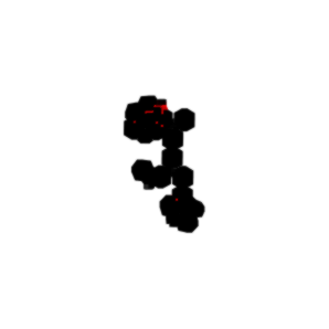 CC1(C)c2ccccc2C2(c3ccccc3-c3cc(-c4cccc(N(c5ccc(-c6ccc(N(c7ccccc7)c7ccc8c(c7)sc7ccccc78)c(-c7ccc8c(c7)C(C)(C)c7ccccc7C87c8ccccc8-c8ccccc87)c6)cc5)c5ccc6sc7ccccc7c6c5)c4)ccc32)c2ccccc21